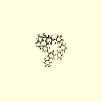 c1ccc(-c2cccc(-c3cccc(-c4nc(-c5cccc(-c6cccc(-c7ccccc7)c6)c5)c5c(n4)sc4ccc6ccccc6c45)c3)c2)cc1